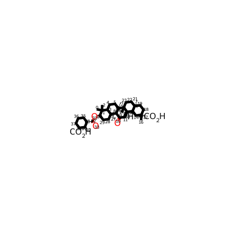 CC1(C)C2CC[C@]3(C)C(C(=O)C=C4[C@@H]5C[C@@](C)(C(=O)O)CC[C@]5(C)CCC43C)[C@@]2(C)CC[C@@H]1OC(=O)[C@H]1CCCC[C@H]1C(=O)O